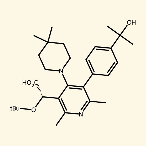 Cc1nc(C)c([C@H](OC(C)(C)C)C(=O)O)c(N2CCC(C)(C)CC2)c1-c1ccc(C(C)(C)O)cc1